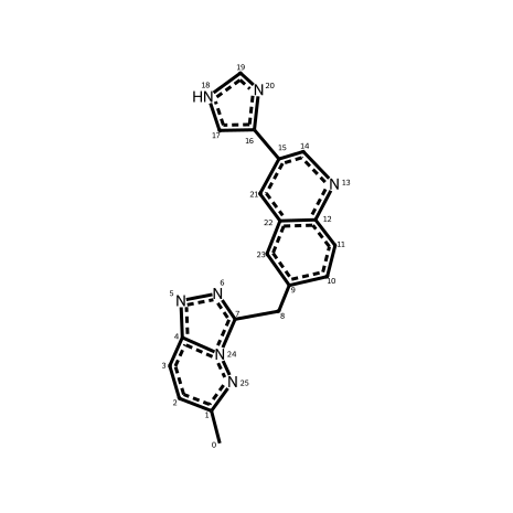 Cc1ccc2nnc(Cc3ccc4ncc(-c5c[nH]cn5)cc4c3)n2n1